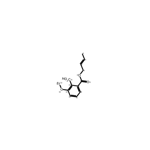 CC=CCOC(=O)c1cccc(OCC)c1C(=O)O